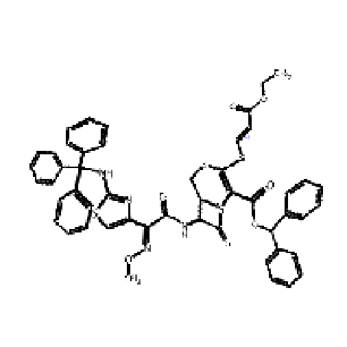 CCOC(=O)/C=C/SC1=C(C(=O)OC(c2ccccc2)c2ccccc2)N2C(=O)C(NC(=O)C(=NOC)c3csc(NC(c4ccccc4)(c4ccccc4)c4ccccc4)n3)C2CS1